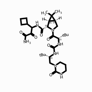 CC(C)(C)[C@H](NC(=O)N[C@H](CN1CCCNC1=O)C(C)(C)C)C(=O)N1C[C@H]2[C@@H]([C@H]1C(=O)NC(C(=O)C(N)=O)C1CCC1)C2(C)C